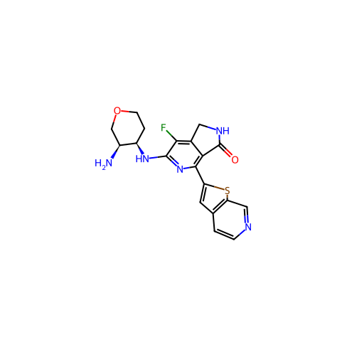 N[C@H]1COCC[C@H]1Nc1nc(-c2cc3ccncc3s2)c2c(c1F)CNC2=O